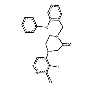 O=C1CN(c2cn[nH]c(=O)c2Cl)CCN1Cc1ccccc1Oc1ccccc1